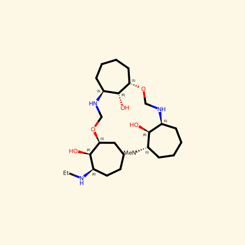 CCN[C@@H]1CCCC[C@H](OCN[C@H]2CCCC[C@H](OCN[C@H]3CCCC[C@H](NC)[C@H]3O)[C@@H]2O)[C@@H]1O